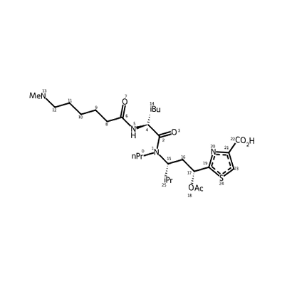 CCCN(C(=O)[C@@H](NC(=O)CCCCCNC)[C@@H](C)CC)[C@H](C[C@@H](OC(C)=O)c1nc(C(=O)O)cs1)C(C)C